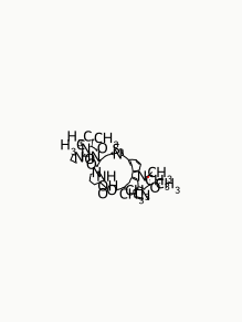 CCn1c(-c2cccnc2[C@H](C)OC)c2c3cc(ccc31)-c1csc(n1)C[C@H](NC(=O)[C@H](C(C)C)N(C)C(=O)N1CCC1)C(=O)N1CCC[C@@](O)(N1)C(=O)OCC(C)(C)C2